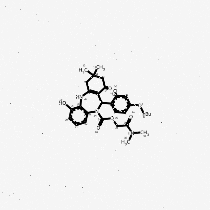 CCCCOc1ccc(C2C3=C(CC(C)(C)CC3=O)Nc3c(O)cccc3N2C(=O)OCC(=O)N(C)C)c(Cl)c1